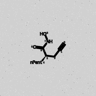 C#CC[C@H](CCCCC)C(=O)NO